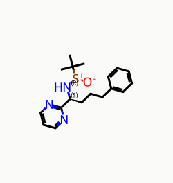 CC(C)(C)[S@+]([O-])N[C@@H](CCCc1ccccc1)c1ncccn1